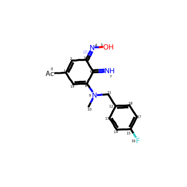 CC(=O)C1=C/C(=N/O)C(=N)C(N(C)Cc2ccc(F)cc2)=C1